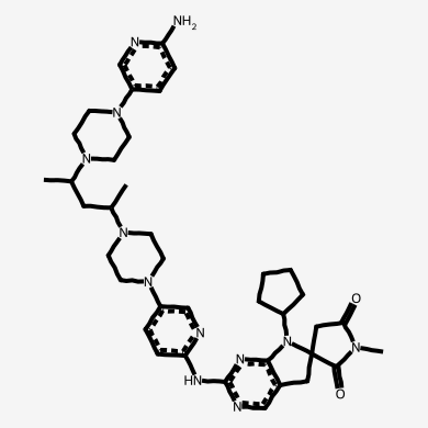 CC(CC(C)N1CCN(c2ccc(Nc3ncc4c(n3)N(C3CCCC3)C3(CC(=O)N(C)C3=O)C4)nc2)CC1)N1CCN(c2ccc(N)nc2)CC1